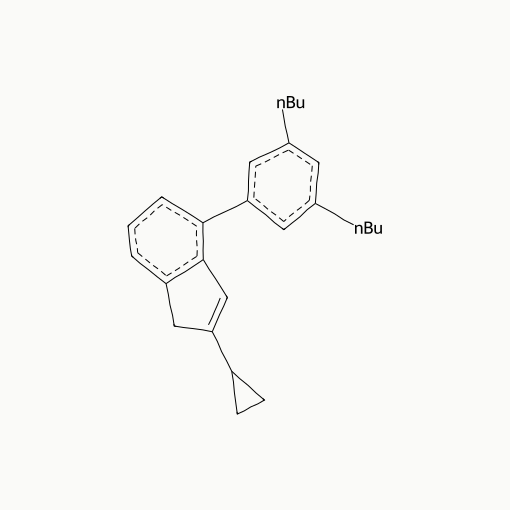 CCCCc1cc(CCCC)cc(-c2cccc3c2C=C(C2CC2)C3)c1